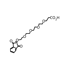 O=C(O)CCOCCOCCOCCOCCON1C(=O)c2ccccc2C1=O